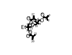 C=C(C)C(=O)OCC(C)(C)COCC(CC)(COC(=O)C(=C)C)COC(=O)C(=C)C